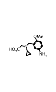 COc1ccc(N)cc1CN(CC(=O)O)C1CC1